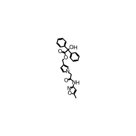 Cc1cc(NC(=O)Cn2ccc(COC(=O)C(O)(c3ccccc3)c3ccccc3)c2)no1